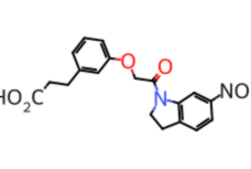 O=C(O)CCc1cccc(OCC(=O)N2CCc3ccc([N+](=O)[O-])cc32)c1